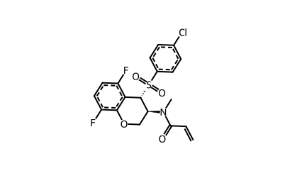 C=CC(=O)N(C)[C@H]1COc2c(F)ccc(F)c2[C@@H]1S(=O)(=O)c1ccc(Cl)cc1